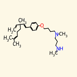 C=C[C@@](C)(/C=C/c1ccc(OCCCCN(C)CCCNC)cc1)CCC=C(C)C